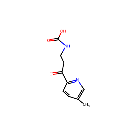 Cc1ccc(C(=O)CCNC(=O)O)nc1